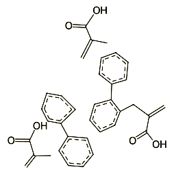 C=C(C)C(=O)O.C=C(C)C(=O)O.C=C(Cc1ccccc1-c1ccccc1)C(=O)O.c1ccc(-c2ccccc2)cc1